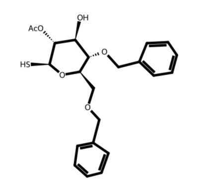 CC(=O)O[C@@H]1[C@@H](O)[C@H](OCc2ccccc2)[C@@H](COCc2ccccc2)O[C@H]1S